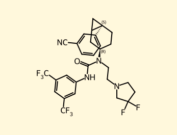 N#Cc1cccc([C@]23CC[C@@H](N(CCN4CCC(F)(F)C4)C(=O)Nc4cc(C(F)(F)F)cc(C(F)(F)F)c4)CC2C3)c1